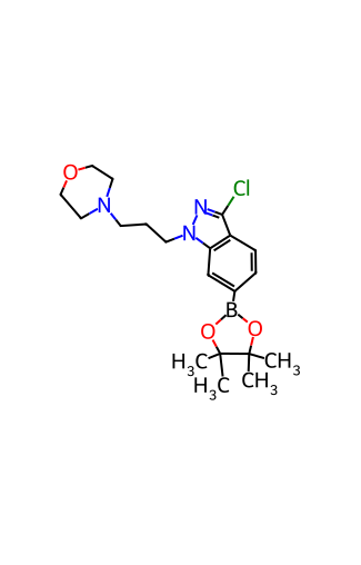 CC1(C)OB(c2ccc3c(Cl)nn(CCCN4CCOCC4)c3c2)OC1(C)C